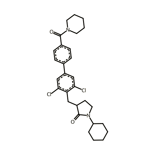 O=C(c1ccc(-c2cc(Cl)c(CC3CCN(C4CCCCC4)C3=O)c(Cl)c2)cc1)N1CCCCC1